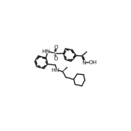 C/C(=N\O)c1ccc(S(=O)(=O)Nc2ccccc2CN[C@@H](C)CC2CCCCC2)cc1